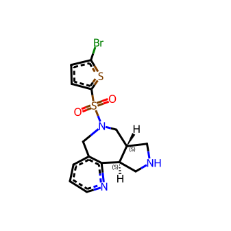 O=S(=O)(c1ccc(Br)s1)N1Cc2cccnc2[C@@H]2CNC[C@H]2C1